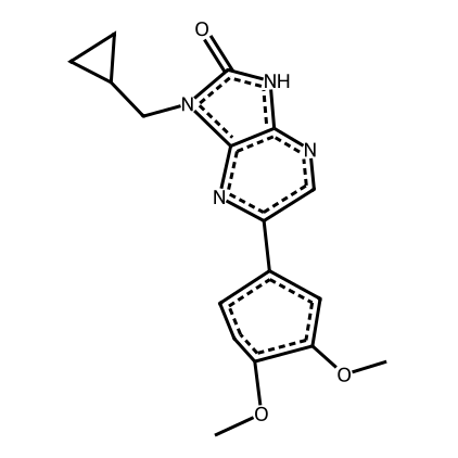 COc1ccc(-c2cnc3[nH]c(=O)n(CC4CC4)c3n2)cc1OC